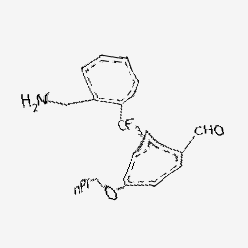 CCCOc1ccc(C=O)cc1.NCc1ccccc1C(F)(F)F